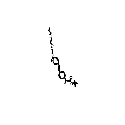 CCCOCCOCCOc1ccc(/C=C/c2ccc(N(C)C(=O)OC(C)(C)C)cc2)cn1